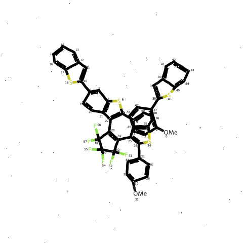 COc1ccc(-c2sc3cc(-c4cc5ccccc5s4)ccc3c2C2=C(c3c(-c4ccc(OC)cc4)sc4cc(-c5cc6ccccc6s5)ccc34)C(F)(F)C(F)(F)C2(F)F)cc1